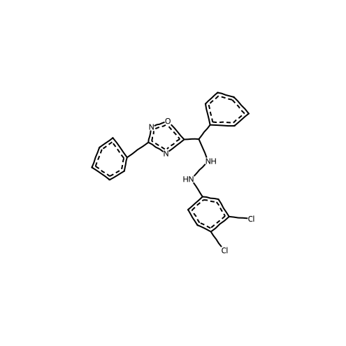 Clc1ccc(NNC(c2ccccc2)c2nc(-c3ccccc3)no2)cc1Cl